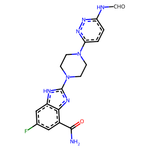 NC(=O)c1cc(F)cc2[nH]c(N3CCN(c4ccc(NC=O)nn4)CC3)nc12